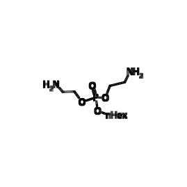 CCCCCCOP(=O)(OCCN)OCCN